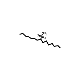 CCCCCCCC(CCCCCCC)S(N)(=O)=O